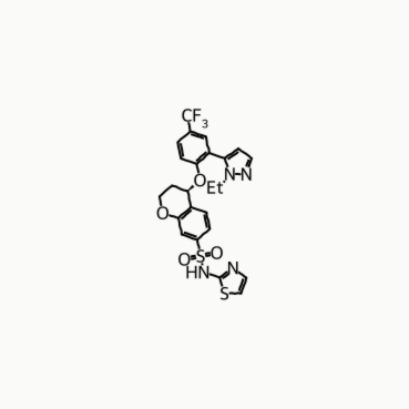 CCn1nccc1-c1cc(C(F)(F)F)ccc1O[C@@H]1CCOc2cc(S(=O)(=O)Nc3nccs3)ccc21